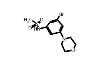 CS(=O)(=O)Nc1cc(Br)cc(N2CCOCC2)c1